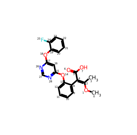 COC(C)=C(C(=O)O)c1ccccc1Oc1cc(Oc2ccccc2F)ncn1